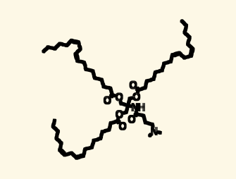 CCCCC/C=C\C/C=C\CCCCCCCC(=O)OCC(COC(=O)CCCCCCC/C=C\C/C=C\CCCCC)(COC(=O)CCCCCCC/C=C\C/C=C\CCCCC)NC(=O)CCCN(C)C